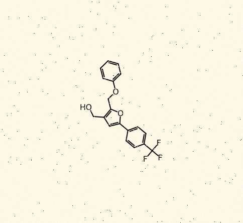 OCc1cc(-c2ccc(C(F)(F)F)cc2)oc1COc1ccccc1